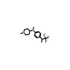 CC(c1ccc(N(C)C2CCN(C)CC2)cc1)C(F)(F)F